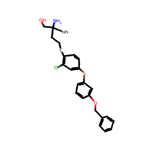 CCCC(N)(CO)CCCc1ccc(Sc2cccc(OCc3ccccc3)c2)cc1Cl